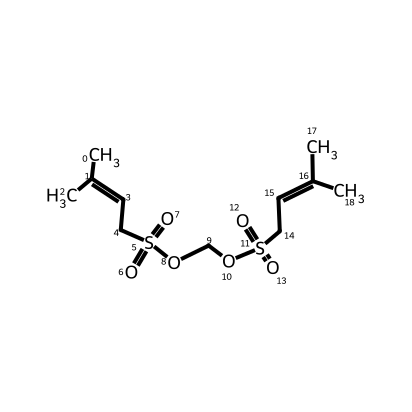 CC(C)=CCS(=O)(=O)OCOS(=O)(=O)CC=C(C)C